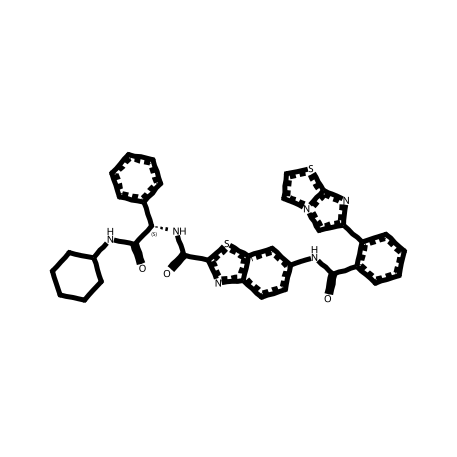 O=C(N[C@H](C(=O)NC1CCCCC1)c1ccccc1)c1nc2ccc(NC(=O)c3ccccc3-c3cn4ccsc4n3)cc2s1